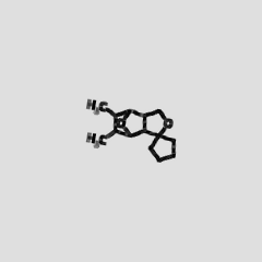 CC1C(C)C2OC1C1COC3(CCCC3)C12